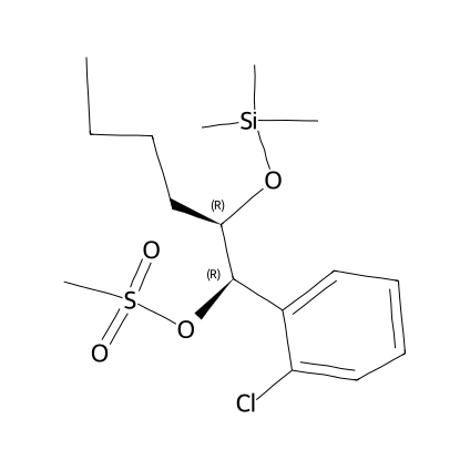 CCCC[C@@H](O[Si](C)(C)C)[C@H](OS(C)(=O)=O)c1ccccc1Cl